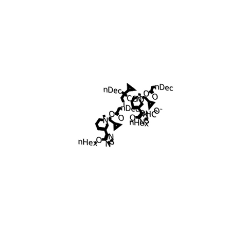 CCCCCCCCCCC(CI)(C(=O)[O-])C1CC1.CCCCCCCCCCCC(=O)OC(C1CC1)[N+]1(C)CCC=C(c2nsnc2OCCCCCC)C1.CCCCCCCCCCCC(=O)OC(C1CC1)[N+]1(C)CCC=C(c2nsnc2OCCCCCC)C1.O=C[O-]